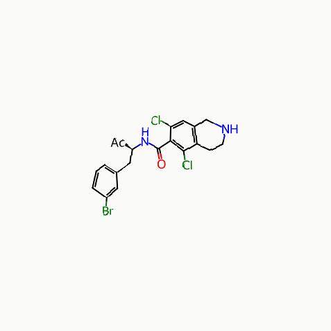 CC(=O)[C@H](Cc1cccc(Br)c1)NC(=O)c1c(Cl)cc2c(c1Cl)CCNC2